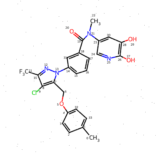 Cc1ccc(OCc2c(Cl)c(C(F)(F)F)nn2-c2cccc(C(=O)N(C)c3cnc(O)c(O)c3)c2)cc1